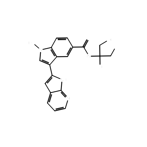 Cn1cc(-c2cc3cccnc3[nH]2)c2cc(C(=O)NC(C)(CO)CO)ccc21